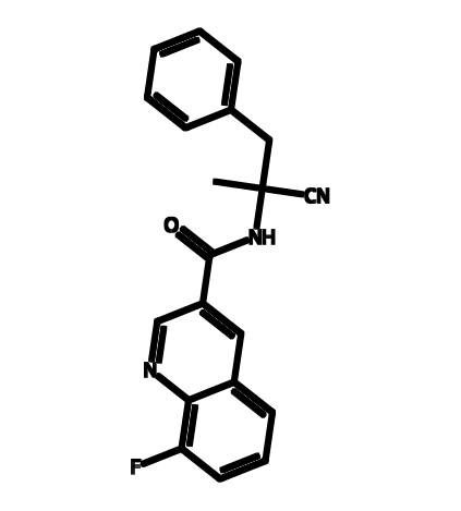 CC(C#N)(Cc1ccccc1)NC(=O)c1cnc2c(F)cccc2c1